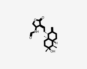 C=C1CC[C@@H]2[C@@H](C)[C@](C)(O)CC[C@@]2(C)[C@@H]1C/C=C1/C(=O)OCC1NC=O